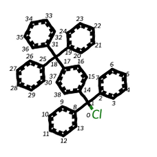 ClC(c1ccccc1)(c1ccccc1)c1ccc(C(c2ccccc2)(c2ccccc2)c2ccccc2)cc1